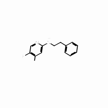 Fc1cnc(NCCc2ccccc2)cc1I